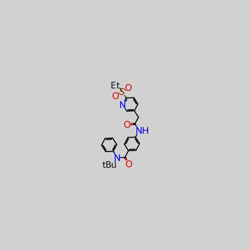 CCS(=O)(=O)c1ccc(CC(=O)Nc2ccc(C(=O)N(c3ccccc3)C(C)(C)C)cc2)cn1